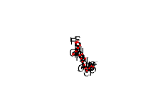 O=C(NCc1cc2nc(N3CCOc4cc(N5CC[C@H](F)[C@@H](F)C5)cnc43)ccc2cn1)c1cc(Cl)c2c(c1)S(=O)(=O)[C@@H](F)COC2